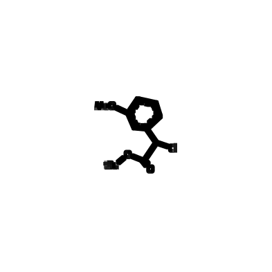 COc1cccc(C(Cl)C(=O)OC(C)(C)C)c1